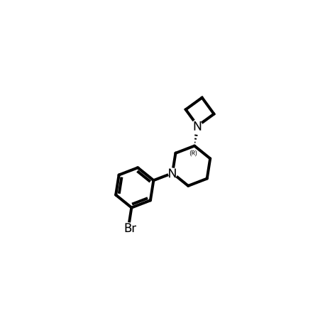 Brc1cccc(N2CCC[C@@H](N3CCC3)C2)c1